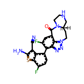 N#Cc1c(N)sc2c(F)ccc(-c3c(F)cc4c5c3nnn5CC[C@H]3CNCCN3C4=O)c12